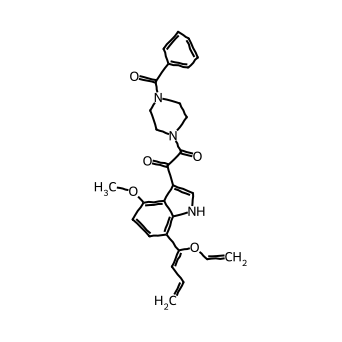 C=C/C=C(\OC=C)c1ccc(OC)c2c(C(=O)C(=O)N3CCN(C(=O)c4ccccc4)CC3)c[nH]c12